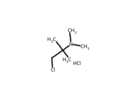 CN(C)C(C)(C)CCl.Cl